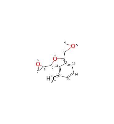 C(OCC1CO1)C1CO1.Cc1ccccc1